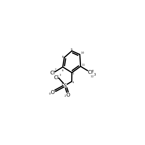 O=S(=O)(Cl)Cc1c(Cl)cccc1C(F)(F)F